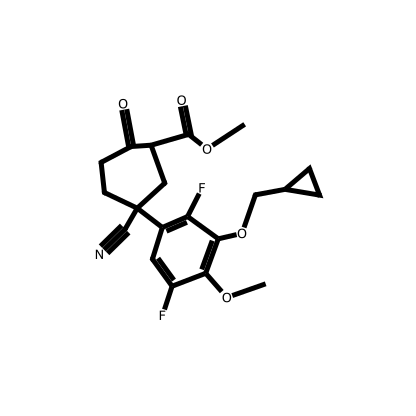 COC(=O)C1CC(C#N)(c2cc(F)c(OC)c(OCC3CC3)c2F)CCC1=O